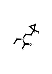 CCN(CCC1(C)CC1)C(C)=O